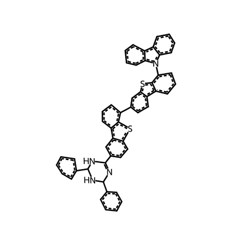 c1ccc(C2N=C(c3ccc4sc5c(-c6ccc7c(c6)sc6c(-n8c9ccccc9c9ccccc98)cccc67)cccc5c4c3)NC(c3ccccc3)N2)cc1